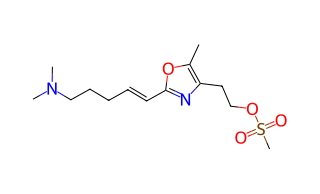 Cc1oc(C=CCCCN(C)C)nc1CCOS(C)(=O)=O